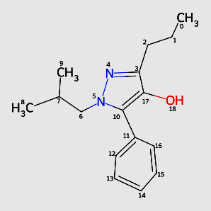 CCCc1nn(CC(C)C)c(-c2ccccc2)c1O